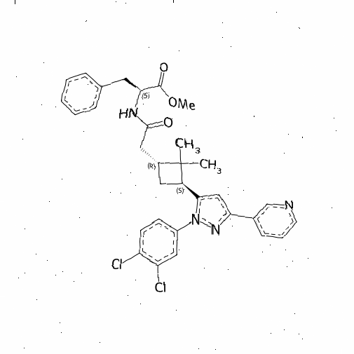 COC(=O)[C@H](Cc1ccccc1)NC(=O)C[C@H]1C[C@H](c2cc(-c3cccnc3)nn2-c2ccc(Cl)c(Cl)c2)C1(C)C